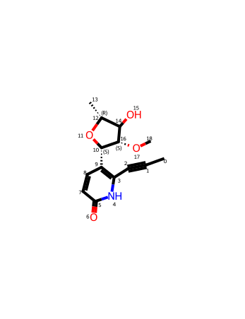 CC#Cc1[nH]c(=O)ccc1[C@@H]1O[C@H](C)C(O)[C@@H]1OC